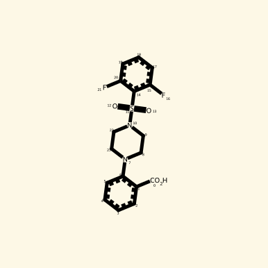 O=C(O)c1ccccc1N1CCN(S(=O)(=O)c2c(F)cccc2F)CC1